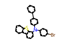 Brc1ccc(N(c2ccc(-c3ccccc3)cc2)c2cccc3c2sc2ccccc23)cc1